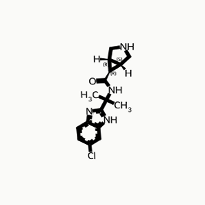 CC(C)(NC(=O)[C@H]1[C@@H]2CNC[C@@H]21)c1nc2ccc(Cl)cc2[nH]1